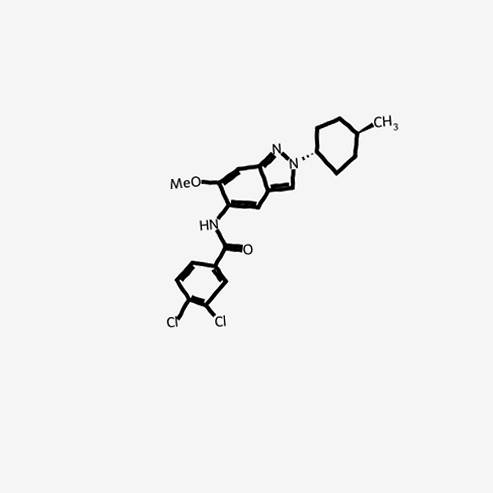 COc1cc2nn([C@H]3CC[C@H](C)CC3)cc2cc1NC(=O)c1ccc(Cl)c(Cl)c1